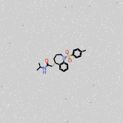 Cc1ccc(S(=O)(=O)N2CCC[C@@H](CC(=O)NC(C)C)c3ccccc32)cc1